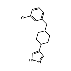 Clc1cccc(CC2CCN(c3cn[nH]c3)CC2)c1